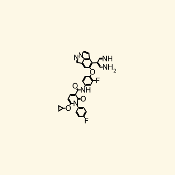 N=C/C(=C\N)c1c(Oc2ccc(NC(=O)c3ccc(OC4CC4)n(-c4ccc(F)cc4)c3=O)cc2F)cc2cnn3ccc1c23